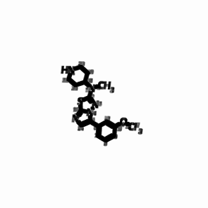 CN(c1nn2c(-c3cccc(OC(F)(F)F)c3)cnc2s1)C1CCNCC1